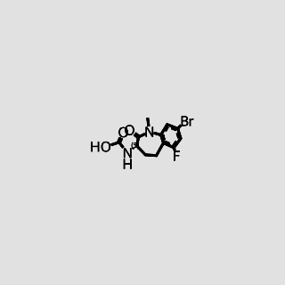 CN1C(=O)[C@@H](NC(=O)O)CCc2c(F)cc(Br)cc21